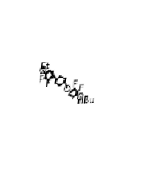 CCCCOc1ccc(OCC2CCC(c3ccc(OCC)c(F)c3F)CC2)c(F)c1F